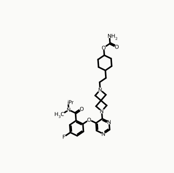 CC(C)N(C)C(=O)c1cc(F)ccc1Oc1cncnc1N1CC2(CN(CCC3CCC(OC(N)=O)CC3)C2)C1